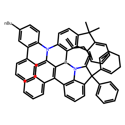 C=CC/C=C1\N2B3c4c(ccc5c4-c4ccccc4C5(C)C)N(c4ccc(CCCC)cc4-c4ccccc4)c4cc5ccccc5c(c43)-c3cccc(c32)C1(C1=CCCC=C1)c1ccccc1